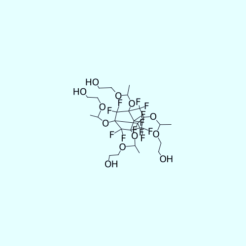 CC(OCCO)OC12C(F)(F)C3(OC(C)OCCO)C(F)(F)C(OC(C)OCCO)(C1(F)F)C(F)(F)C(OC(C)OCCO)(C2(F)F)C3(F)F